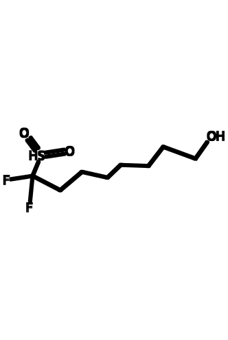 O=[SH](=O)C(F)(F)CCCCCCCO